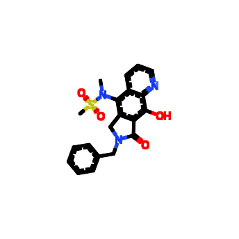 CN(c1c2c(c(O)c3ncccc13)C(=O)N(Cc1ccccc1)C2)S(C)(=O)=O